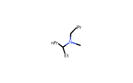 CCCC(CC)N(C)CC(C)C